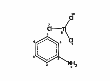 Nc1ccccc1.[Cl][Ti]([Cl])[Cl]